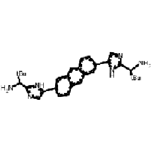 CC(C)(C)C(N)c1ncc(-c2ccc3cc4cc(-c5cnc(C(N)C(C)(C)C)[nH]5)ccc4cc3c2)[nH]1